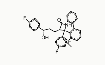 C[N+](C)(C)c1cccc(-c2ccccc2)c1[C@]1(c2ccc(F)cc2)NC(=O)[C@@H]1CC[C@H](O)c1ccc(F)cc1